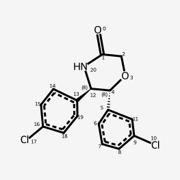 O=C1CO[C@H](c2cccc(Cl)c2)[C@@H](c2ccc(Cl)cc2)N1